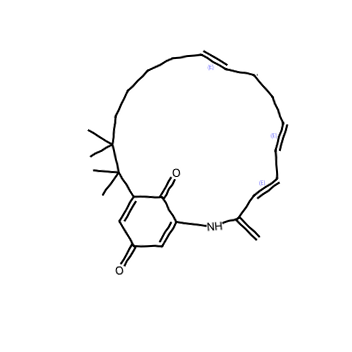 C=C1/C=C/C=C/C[CH]/C=C/CCCCC(C)(C)C(C)(C)C2=CC(=O)C=C(N1)C2=O